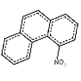 O=[N+]([O-])c1cccc2ccc3ccccc3c12